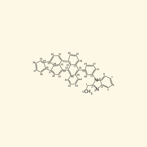 CCc1nc2ccccc2n1-c1cccc(-c2c3ccccc3c(-c3ccc4c5c(cccc35)-c3ccccc3-4)c3ccccc23)c1